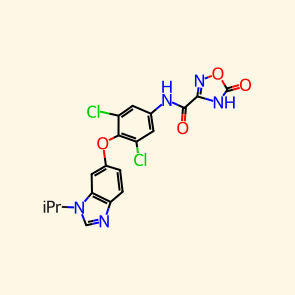 CC(C)n1cnc2ccc(Oc3c(Cl)cc(NC(=O)c4noc(=O)[nH]4)cc3Cl)cc21